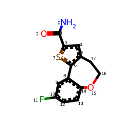 NC(=O)c1cc2c(s1)-c1cc(F)ccc1OCC2